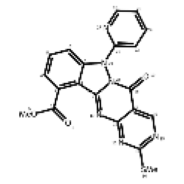 COC(=O)c1cccc2c1c1nc3nc(SC)ncc3c(=O)n1n2-c1ccccn1